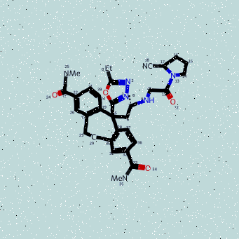 CCc1nnc(C2(C[C@H](C)NCC(=O)N3CCCC3C#N)c3ccc(C(=O)NC)cc3CCc3cc(C(=O)NC)ccc32)o1